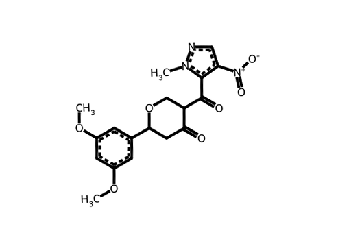 COc1cc(OC)cc(C2CC(=O)C(C(=O)c3c([N+](=O)[O-])cnn3C)CO2)c1